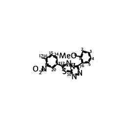 COc1ccccc1-c1nnc2sc(-c3ccc(C)c([N+](=O)[O-])c3)nn12